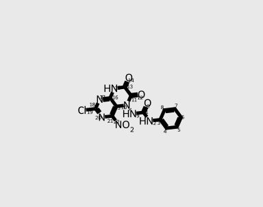 O=C(Nc1ccccc1)Nn1c(=O)c(=O)[nH]c2nc(Cl)nc([N+](=O)[O-])c21